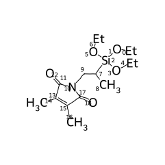 CCO[Si](OCC)(OCC)C(C)CN1C(=O)C(C)=C(C)C1=O